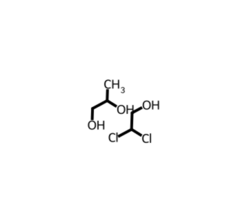 CC(O)CO.OCC(Cl)Cl